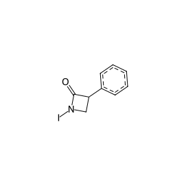 O=C1C(c2ccccc2)CN1I